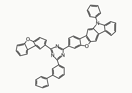 c1ccc(-c2cccc(-c3nc(-c4ccc5c(c4)oc4cc6c7ccccc7n(-c7ccccc7)c6cc45)nc(-c4ccc5oc6ccccc6c5c4)n3)c2)cc1